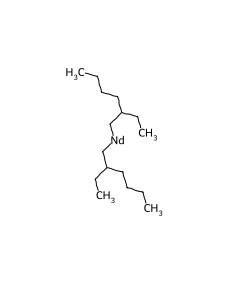 CCCCC(CC)[CH2][Nd][CH2]C(CC)CCCC